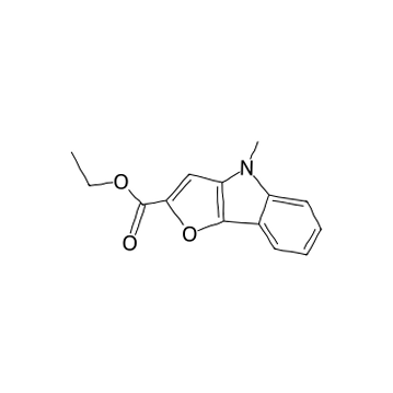 CCOC(=O)c1cc2c(o1)c1ccccc1n2C